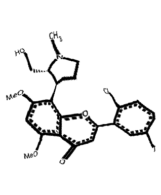 COc1cc(OC)c2c(=O)cc(-c3cc(I)ccc3Cl)oc2c1[C@@H]1CCN(C)[C@H]1CO